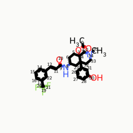 CC(=O)OC12CCC(NC(=O)/C=C/c3cccc(C(F)(F)F)c3)CC1(c1cccc(O)c1)CCN(C)C2